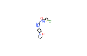 O=C(NCc1cn(-c2ccc(N3CCCCC3=O)cc2)nn1)c1ccc(Cl)s1